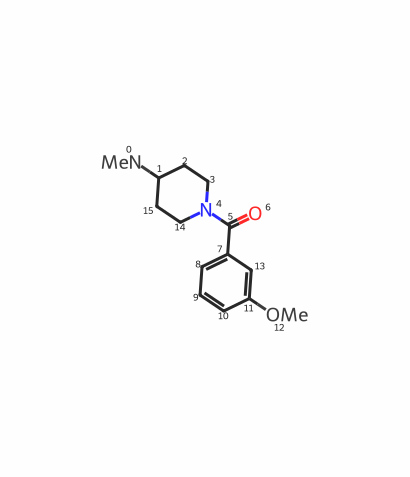 CNC1CCN(C(=O)c2cccc(OC)c2)CC1